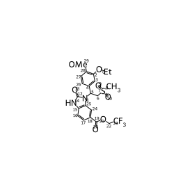 CCOc1cc(C(CS(C)(=O)=O)n2c(=O)[nH]c3ccc(C(=O)OCC(F)(F)F)cc32)ccc1OC